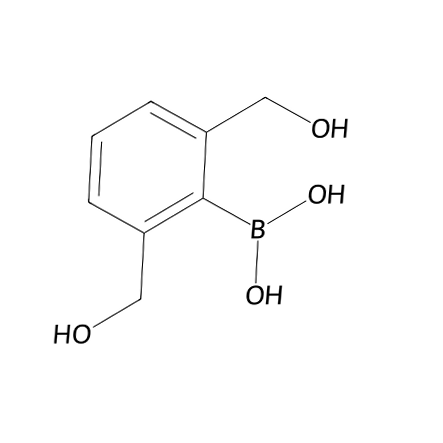 OCc1cccc(CO)c1B(O)O